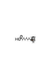 O=C(O)CCCCCCCC12CC3CC(CC(C3)C1)C2